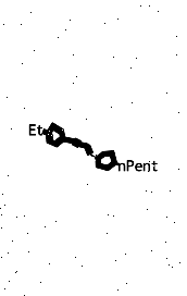 CCCCC[C@H]1CC[C@H](/C=C/C#Cc2ccc(CC)cc2)CC1